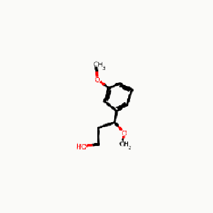 COc1cccc(C(CCO)OC)c1